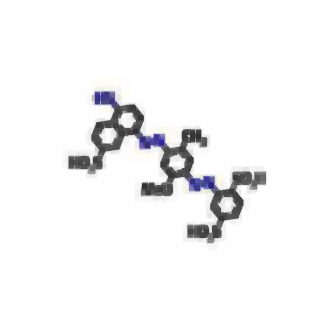 COc1cc(N=Nc2ccc([NH])c3ccc(S(=O)(=O)O)cc23)c(C)cc1N=Nc1cc(S(=O)(=O)O)ccc1S(=O)(=O)O